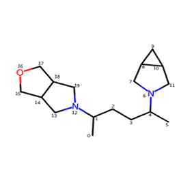 CC(CCC(C)N1CC2CC2C1)N1CC2COCC2C1